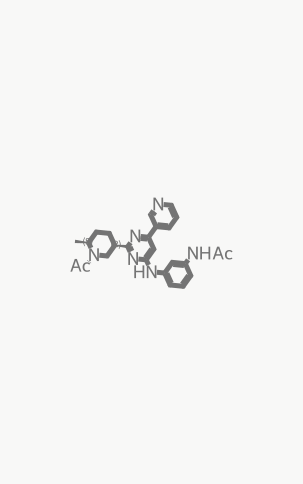 CC(=O)Nc1cccc(Nc2cc(-c3cccnc3)nc([C@@H]3CC[C@H](C)N(C(C)=O)C3)n2)c1